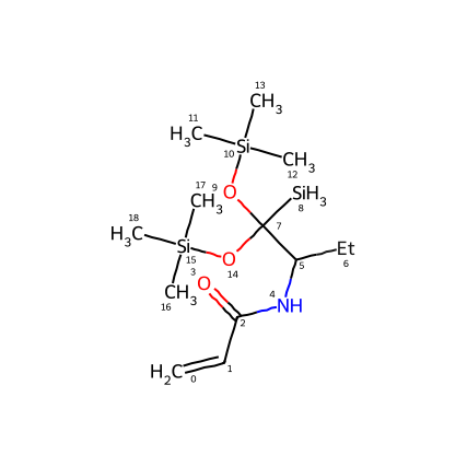 C=CC(=O)NC(CC)C([SiH3])(O[Si](C)(C)C)O[Si](C)(C)C